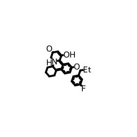 CCC(Oc1ccc2c(c1)=C1C(O)=CC(=O)CN1[C@H]1CCCCC=21)c1cccc(F)c1